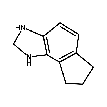 c1cc2c(c3c1CCC3)NCN2